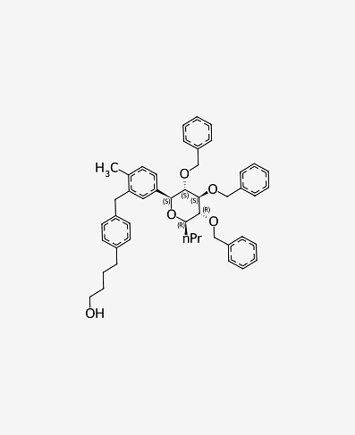 CCC[C@H]1O[C@@H](c2ccc(C)c(Cc3ccc(CCCCO)cc3)c2)[C@H](OCc2ccccc2)[C@@H](OCc2ccccc2)[C@@H]1OCc1ccccc1